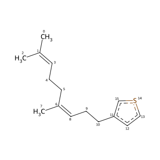 CC(C)=CCCC(C)=CCCc1ccsc1